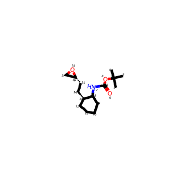 CC(C)(C)OC(=O)NC1CCCC[C@H]1CC[C@@H]1CO1